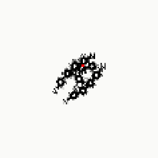 N#Cc1ccc(-c2ccc3c4ccc(-c5ccc(C#N)cc5)cc4n(-c4cc(-c5cccc(-c6ccccc6)n5)c(-n5c6cc(-c7ccc(C#N)cc7)ccc6c6ccc(-c7ccc(C#N)cc7)cc65)cc4C#N)c3c2)cc1